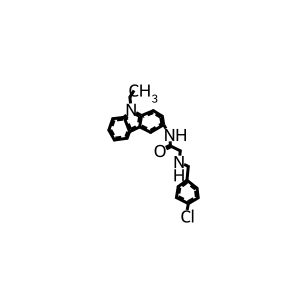 CCn1c2ccccc2c2cc(NC(=O)CNCc3ccc(Cl)cc3)ccc21